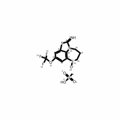 CS(=O)(=O)O.N=c1sc2cc(OC(F)(F)F)cc3c2n1CCC[S+]3[O-]